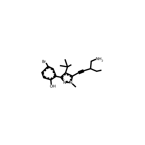 CCC(C#Cc1c(C(C)(C)C)c(-c2cc(Br)ccc2O)nn1C)CN